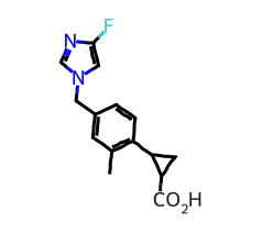 Cc1cc(Cn2cnc(F)c2)ccc1C1CC1C(=O)O